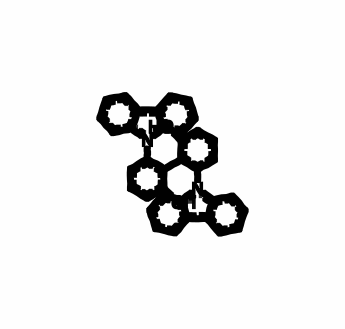 Oc1cccc(-n2c3ccccc3c3ccccc32)c1-c1c(O)cccc1-n1c2ccccc2c2ccccc21